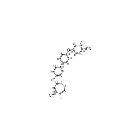 CC1=CCC=C(Oc2ccc(-c3ccc(Oc4ccc(C#N)c(C)c4)cc3)cc2)C=C1C#N